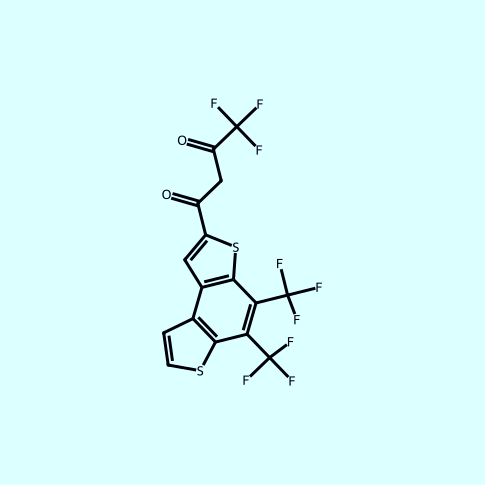 O=C(CC(=O)C(F)(F)F)c1cc2c(s1)c(C(F)(F)F)c(C(F)(F)F)c1sccc12